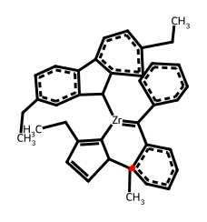 CCC1=[C]([Zr](=[C](c2ccccc2)c2ccccc2)[CH]2c3cc(CC)ccc3-c3ccc(CC)cc32)C(CC)C=C1